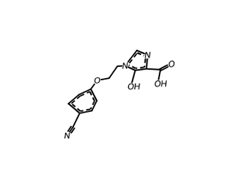 N#Cc1ccc(OCCn2cnc(C(=O)O)c2O)cc1